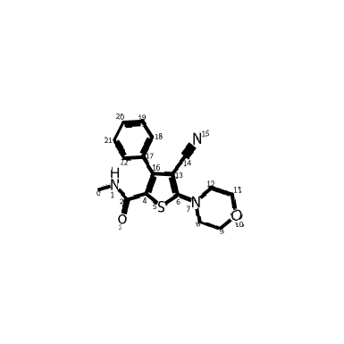 CNC(=O)c1sc(N2CCOCC2)c(C#N)c1-c1ccccc1